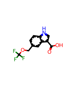 O=C(O)c1c[nH]c2ccc(COC(F)(F)F)cc12